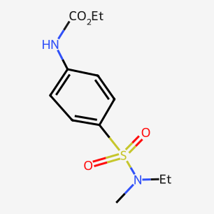 CCOC(=O)Nc1ccc(S(=O)(=O)N(C)CC)cc1